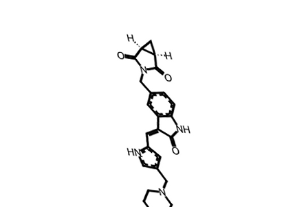 O=C1Nc2ccc(CN3C(=O)[C@H]4C[C@H]4C3=O)cc2C1=Cc1cc(CN2CCOCC2)c[nH]1